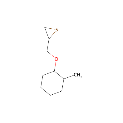 CC1CCCCC1OCC1CS1